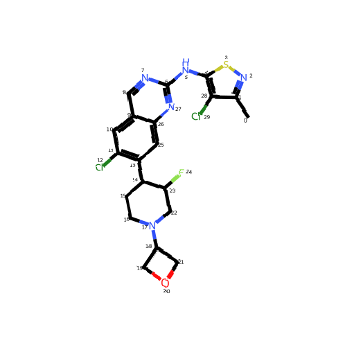 Cc1nsc(Nc2ncc3cc(Cl)c(C4CCN(C5COC5)CC4F)cc3n2)c1Cl